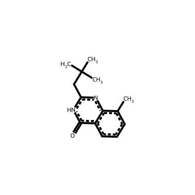 Cc1cccc2c(=O)[nH]c(CC(C)(C)C)nc12